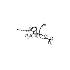 CCCCOc1nccc2c1c(N)nn2C1(CC#N)CCC(C(=O)OC)OC1